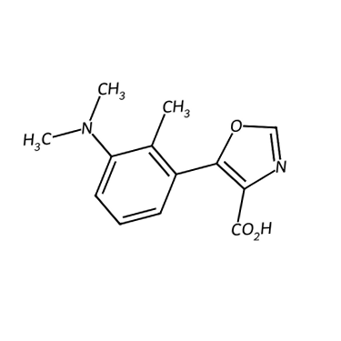 Cc1c(-c2ocnc2C(=O)O)cccc1N(C)C